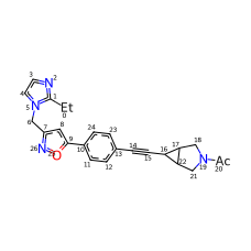 CCc1nccn1Cc1cc(-c2ccc(C#CC3C4CN(C(C)=O)CC34)cc2)on1